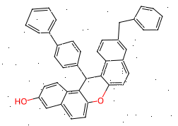 Oc1ccc2c3c(ccc2c1)Oc1ccc2cc(Cc4ccccc4)ccc2c1C3c1ccc(-c2ccccc2)cc1